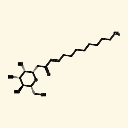 CCCCCCCCC/C=C/C(=O)C[C@@H]1O[C@H](CO)[C@@H](O)[C@H](O)[C@@H]1O